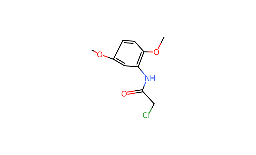 COc1ccc(OC)c(NC(=O)CCl)c1